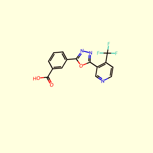 O=C(O)c1cccc(-c2nnc(-c3cnccc3C(F)(F)F)o2)c1